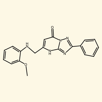 COc1ccccc1NCc1cc(=O)n2nc(-c3ccccc3)nc2[nH]1